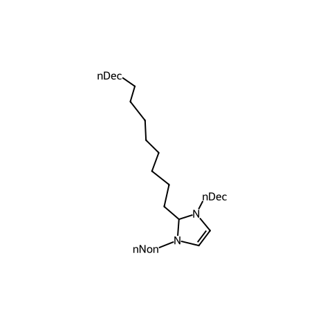 CCCCCCCCCCCCCCCCCCC1N(CCCCCCCCC)C=CN1CCCCCCCCCC